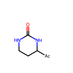 CC(=O)C1CCNC(=O)N1